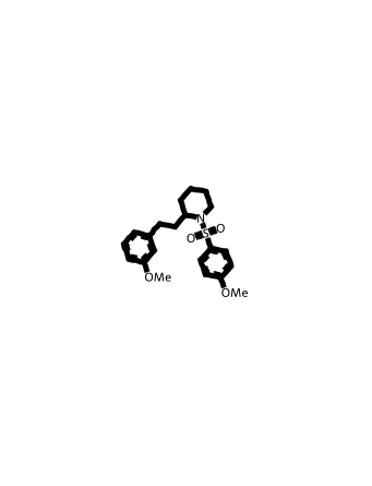 COc1ccc(S(=O)(=O)N2CCCCC2CCc2cccc(OC)c2)cc1